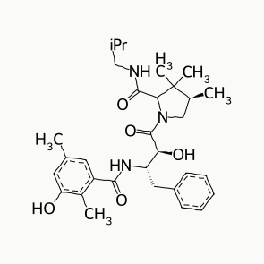 Cc1cc(O)c(C)c(C(=O)N[C@@H](Cc2ccccc2)[C@H](O)C(=O)N2C[C@H](C)C(C)(C)C2C(=O)NCC(C)C)c1